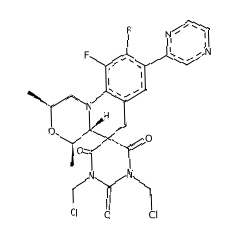 C[C@H]1CN2c3c(cc(-c4cnccn4)c(F)c3F)CC3(C(=O)N(CCl)C(=O)N(CCl)C3=O)[C@@H]2[C@@H](C)O1